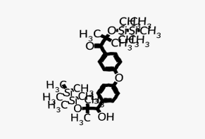 CC(C)(O[Si](C)(C)[Si](C)(C)C)C(=O)c1ccc(Oc2ccc(C(O)C(C)(C)O[Si](C)(C)[Si](C)(C)C)cc2)cc1